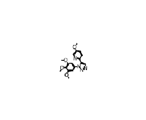 COc1ccc(-c2cnnn2-c2cc(OC)c(OC)c(OC)c2)nc1